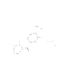 Cc1c(C(=O)c2cnn(C)c2O)ccc(S(C)(=O)=O)c1OCCC(C)C